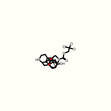 O=C(OCC(Cl)(Cl)Cl)N1C[C@@H]2CC34CCC1C2C31CCNC4Cc2ccc(O)cc21